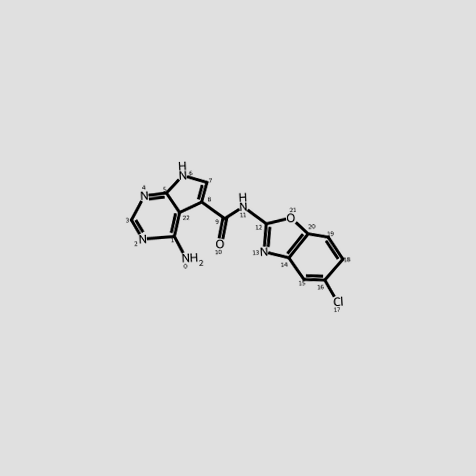 Nc1ncnc2[nH]cc(C(=O)Nc3nc4cc(Cl)ccc4o3)c12